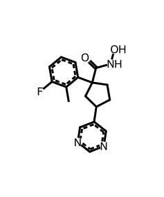 Cc1c(F)cccc1C1(C(=O)NO)CCC(c2cncnc2)C1